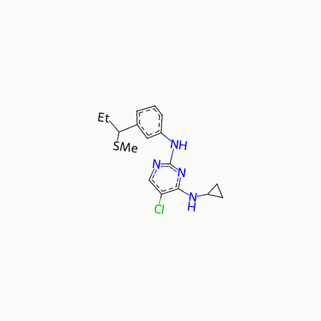 CCC(SC)c1cccc(Nc2ncc(Cl)c(NC3CC3)n2)c1